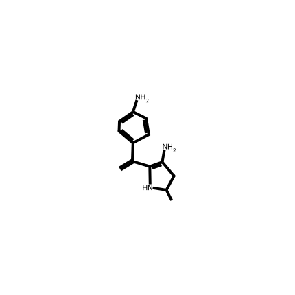 C=C(C1=C(N)CC(C)N1)c1ccc(N)cc1